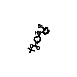 CC(C)(C)OC(=O)N1CCC(Nc2cccnc2Br)CC1